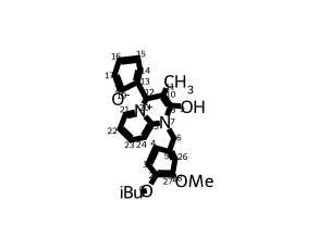 CCC(C)Oc1ccc(CN2C(O)=C(C)C(c3ccccc3[O-])[n+]3ccccc32)cc1OC